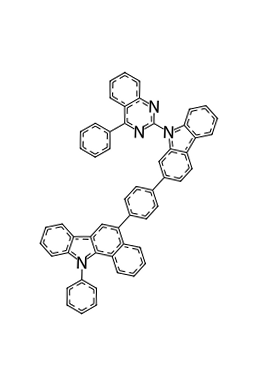 c1ccc(-c2nc(-n3c4ccccc4c4ccc(-c5ccc(-c6cc7c8ccccc8n(-c8ccccc8)c7c7ccccc67)cc5)cc43)nc3ccccc23)cc1